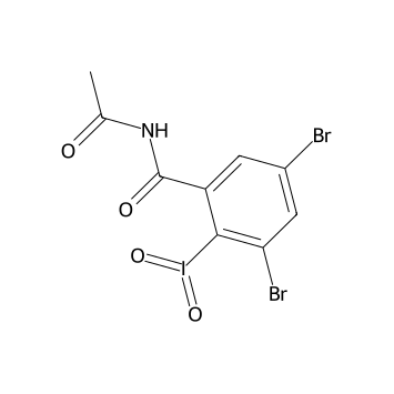 CC(=O)NC(=O)c1cc(Br)cc(Br)c1I(=O)=O